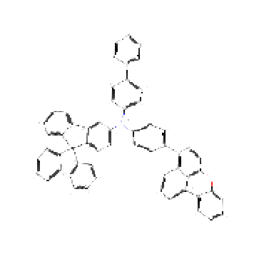 c1ccc(-c2ccc(N(c3ccc(-c4ccc5c6c(cccc46)-c4ccccc4O5)cc3)c3ccc4c(c3)-c3ccccc3C4(c3ccccc3)c3ccccc3)cc2)cc1